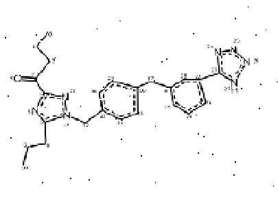 CCCC(=O)c1nc(CCC)n(Cc2ccc(Cc3cccc(-c4nnn[nH]4)c3)cc2)n1